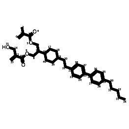 C=C(C)C(=O)OCC(COC(=O)C(=C)CO)C1CCC(CCc2ccc(-c3ccc(CCCCC)cc3)cc2)CC1